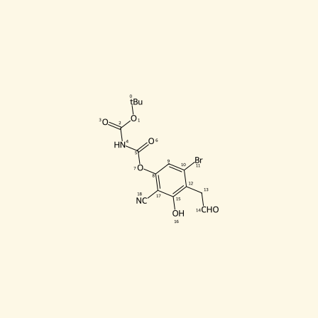 CC(C)(C)OC(=O)NC(=O)Oc1cc(Br)c(CC=O)c(O)c1C#N